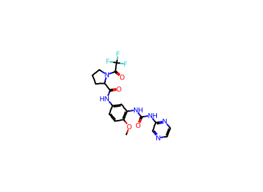 COc1ccc(NC(=O)C2CCCN2C(=O)C(F)(F)F)cc1NC(=O)Nc1cnccn1